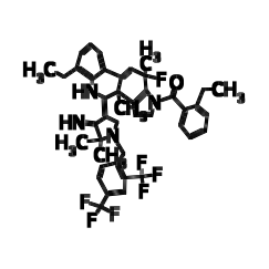 CCc1ccccc1C(=O)n1ccc2c1C(C)(F)C=C1c3cccc(CC)c3N/C(=C3/CN(Cc4ccc(C(F)(F)F)cc4C(F)(F)F)C(C)(C)C3=N)C12C